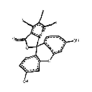 O=C1OC2(c3ccc(O)cc3Oc3cc(O)ccc32)c2cc(I)c(I)c(I)c21